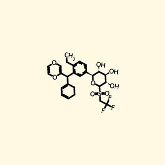 CCc1ccc([C@@H]2OC(S(=O)(=O)CC(F)(F)F)[C@@H](O)[C@H](O)[C@H]2O)cc1C(C1=CC=CCC1)C1=COC=CO1